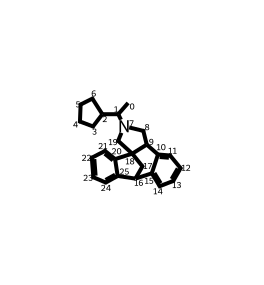 CC(C1CCCC1)N1CC2c3ccccc3C3CC2(C1)c1ccccc13